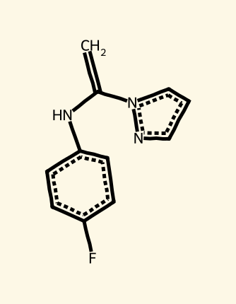 C=C(Nc1ccc(F)cc1)n1cccn1